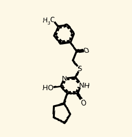 Cc1ccc(C(=O)CSc2nc(O)c(C3CCCC3)c(=O)[nH]2)cc1